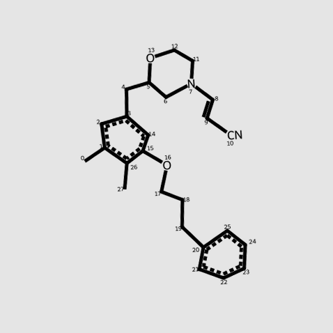 Cc1cc(CC2CN(C=CC#N)CCO2)cc(OCCCc2ccccc2)c1C